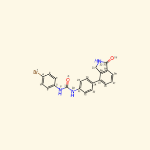 O=C(Nc1ccc(Br)cc1)Nc1ccc(-c2cccc3c2CNC3=O)cc1